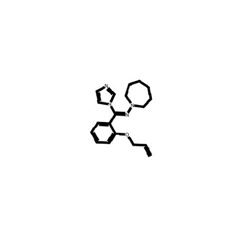 C=CCOc1ccccc1C(=NN1CCCCCC1)n1ccnc1